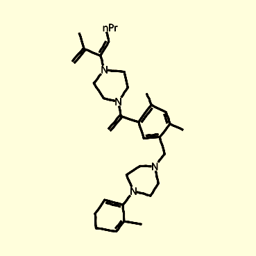 C=C(C)/C(=C\CCC)N1CCN(C(=C)c2cc(CN3CCN(C4=CCCC=C4C)CC3)c(C)cc2C)CC1